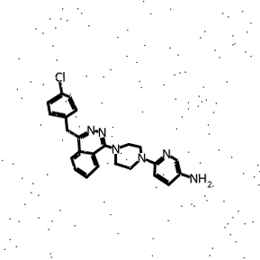 Nc1ccc(N2CCN(c3nnc(Cc4ccc(Cl)cc4)c4ccccc34)CC2)nc1